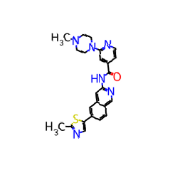 Cc1ncc(-c2ccc3cnc(NC(=O)c4ccnc(N5CCN(C)CC5)c4)cc3c2)s1